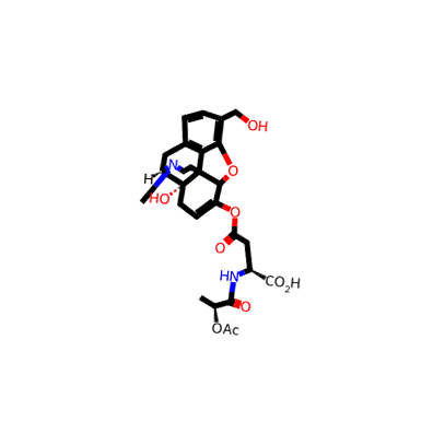 CC(=O)O[C@@H](C)C(=O)N[C@@H](CC(=O)OC1=CC[C@@]2(O)[C@H]3Cc4ccc(CO)c5c4C2(CCN3C)C1O5)C(=O)O